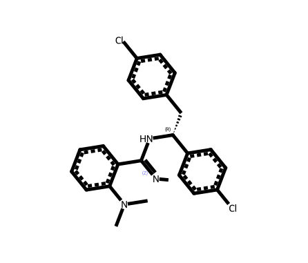 C/N=C(\N[C@H](Cc1ccc(Cl)cc1)c1ccc(Cl)cc1)c1ccccc1N(C)C